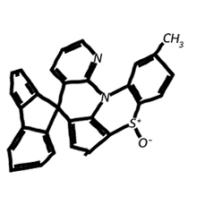 Cc1ccc2c(c1)N1c3ncccc3C3(c4ccccc4-c4ccccc43)c3cccc(c31)[S+]2[O-]